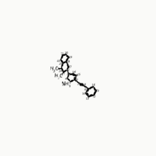 Cc1c(-c2ccc(C#Cc3ccccc3)cc2)cc2ccccc2c1C.N